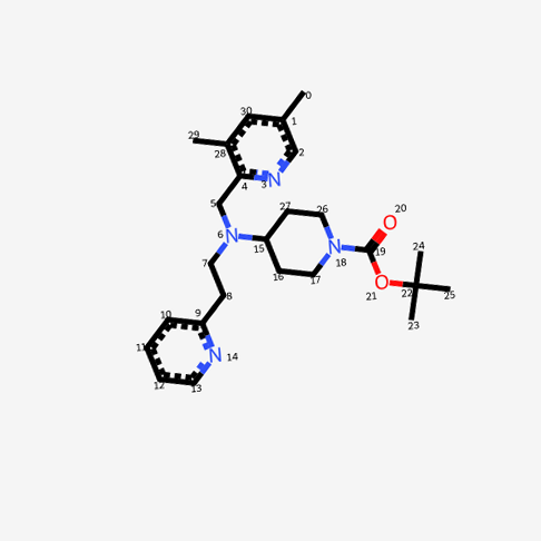 Cc1cnc(CN(CCc2ccccn2)C2CCN(C(=O)OC(C)(C)C)CC2)c(C)c1